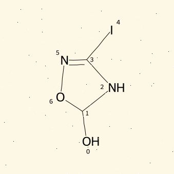 OC1NC(I)=NO1